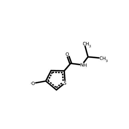 CC(C)NC(=O)c1cc([O])cs1